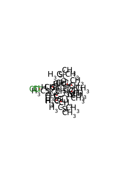 CC1=C(C)[C]([Ti+3])([Si](c2c(C)cc([Si](C)(C)C)cc2[Si](C)(C)C)(c2c(C)cc([Si](C)(C)C)cc2[Si](C)(C)C)c2c(C)cc([Si](C)(C)C)cc2[Si](C)(C)C)C(C)=C1C.[Cl-].[Cl-].[Cl-]